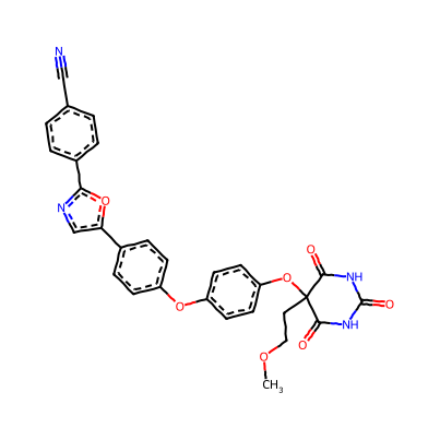 COCCC1(Oc2ccc(Oc3ccc(-c4cnc(-c5ccc(C#N)cc5)o4)cc3)cc2)C(=O)NC(=O)NC1=O